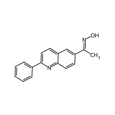 CC(=NO)c1ccc2nc(-c3ccccc3)ccc2c1